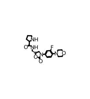 O=C(NC[C@H]1CN(c2ccc(N3CCOCC3)c(F)c2)C(=O)O1)C1CCCN1